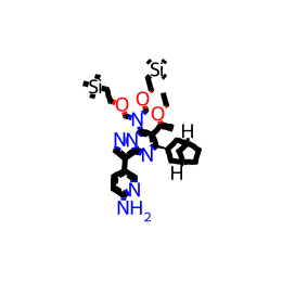 C=C(OCC)c1c([C@H]2C[C@@H]3CC[C@@H](C3)C2)nc2c(-c3ccc(N)nc3)cnn2c1N(COCC[Si](C)(C)C)COCC[Si](C)(C)C